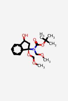 COCO[C@]1(N(COC)C(=O)OC(C)(C)C)CC(O)c2ccccc21